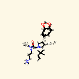 C/C=C/C(C)(C)C[C@H]1[C@H](C(=O)O)[C@@H](c2ccc3c(c2)OCO3)CN1CC(=O)N(CCCC)CCC[N+](C)(C)C